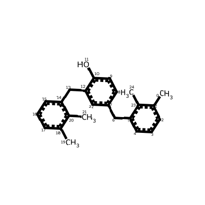 Cc1cccc(Cc2ccc(O)c(Cc3cccc(C)c3C)c2)c1C